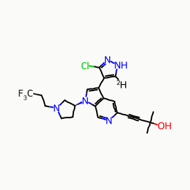 [2H]c1[nH]nc(Cl)c1-c1cn([C@H]2CCN(CCC(F)(F)F)C2)c2cnc(C#CC(C)(C)O)cc12